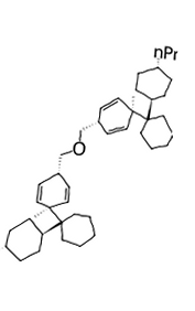 CCC[C@H]1CC[C@H](C2([C@]3(C)C=C[C@@H](COC[C@H]4C=C[C@](C)(C5([C@H]6CC[C@H](CCC)CC6)CCCCC5)C=C4)C=C3)CCCCC2)CC1